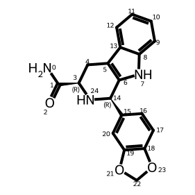 NC(=O)[C@H]1Cc2c([nH]c3ccccc23)[C@@H](c2ccc3c(c2)OCO3)N1